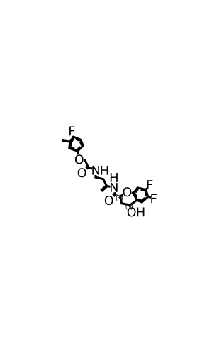 C=C(CCNC(=O)COc1ccc(F)c(C)c1)NC(=O)[C@H]1C[C@@H](O)c2cc(F)c(F)cc2O1